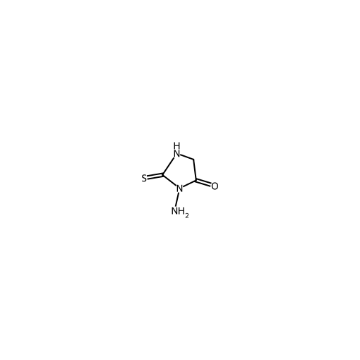 NN1C(=O)CNC1=S